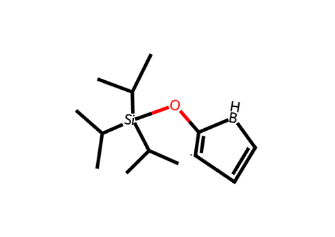 CC(C)[Si](OC1=[C]C=CB1)(C(C)C)C(C)C